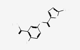 NC(=O)c1cc(NC(=O)c2ccc([N+](=O)[O-])o2)ccc1F